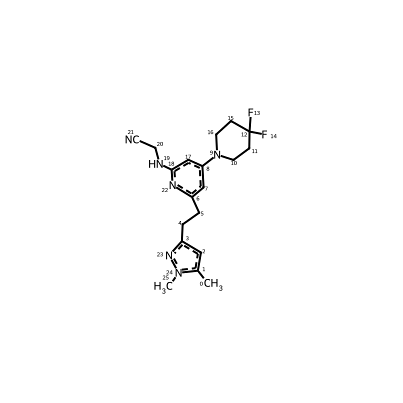 Cc1cc(CCc2cc(N3CCC(F)(F)CC3)cc(NCC#N)n2)nn1C